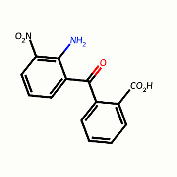 Nc1c(C(=O)c2ccccc2C(=O)O)cccc1[N+](=O)[O-]